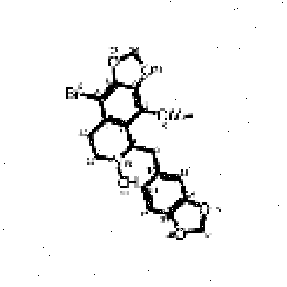 COc1c2c(c(Br)c3c1C(Cc1ccc4c(c1)OCO4)N(C)CC3)OCO2